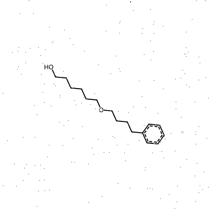 OCCCCCCOCCCCc1ccccc1